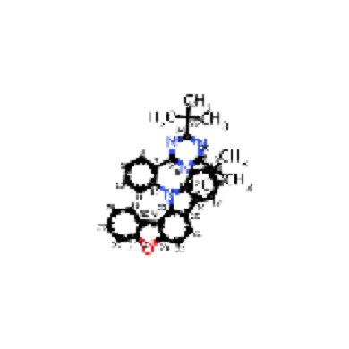 CC(C)(C)c1nc(-c2ccccc2-n2c3ccccc3c3ccc4oc5ccccc5c4c32)nc(C(C)(C)C)n1